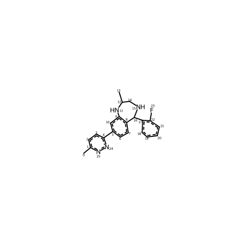 Cc1ccc(-c2ccc3c(c2)NC(C)CNC3c2ccccc2F)nn1